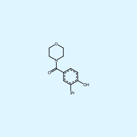 CC(C)c1cc(C(=O)N2CCOCC2)ccc1O